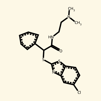 CN(C)CCNC(=O)C(Sc1nc2cc(Cl)ccc2s1)c1ccccc1